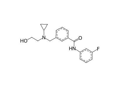 O=C(Nc1cccc(F)c1)c1cccc(CN(CCO)C2CC2)c1